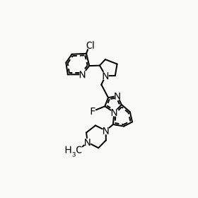 CN1CCN(c2cccc3nc(CN4CCCC4c4ncccc4Cl)c(F)n23)CC1